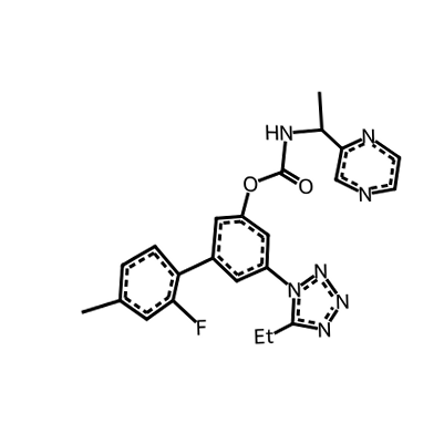 CCc1nnnn1-c1cc(OC(=O)NC(C)c2cnccn2)cc(-c2ccc(C)cc2F)c1